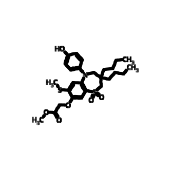 CCCCC1(CCCC)CN(c2ccc(O)cc2)c2cc(SC)c(OCC(=O)OC)cc2S(=O)(=O)C1